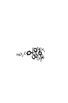 C[C@H](Oc1cncc(-n2nc(C(F)(F)F)c3c2N(C(=O)c2ccc(C(=O)O)cc2)CCC3)c1)c1ccc2c(c1)OC(F)(F)O2